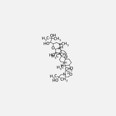 C[C@@H]1CC(C(O)C(C)(C)O)OC2[C@H]1C1(C)CCC34CC35CCC(O[C@H]3CN(CC(C)(C)O)CCO3)C(C)(C)[C@@H]5CCC4[C@]1(C)[C@H]2O